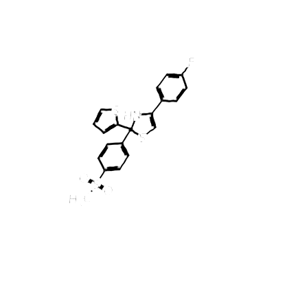 CS(=O)(=O)c1ccc(C2(c3cccs3)NC(c3ccc(F)cc3)=CS2)cc1